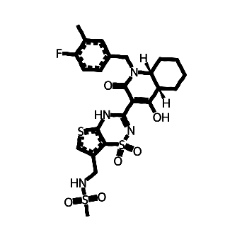 Cc1cc(CN2C(=O)C(C3=NS(=O)(=O)c4c(CNS(C)(=O)=O)csc4N3)=C(O)[C@H]3CCCC[C@H]32)ccc1F